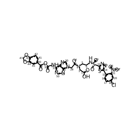 O=C(O)CN(CCNS(=O)(=O)c1nnc(-c2ccc(Cl)cc2[N+](=O)[O-])s1)C(=O)Cn1cnc2c(NC(=O)OC(=O)c3ccc4c(c3)OCO4)ncnc21